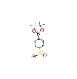 CC(C)[S+]([O-])c1ccc(B2OC(C)(C)C(C)(C)O2)cc1